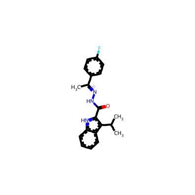 C/C(=N\NC(=O)c1[nH]c2ccccc2c1C(C)C)c1ccc(F)cc1